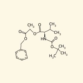 CC(C)[C@@H](NC(=O)OC(C)(C)C)C(=O)O[C@@H](C)C(=O)OCc1ccccc1